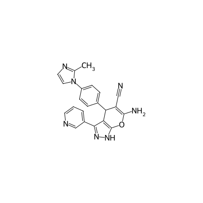 Cc1nccn1-c1ccc(C2C(C#N)=C(N)Oc3[nH]nc(-c4cccnc4)c32)cc1